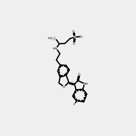 CCS(=O)(=O)CCC(NCCc1ccc2c(c1)CO/C2=C1/C(=O)Nc2ccc(F)cc21)C(=O)O